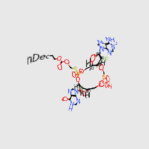 CCCCCCCCCCCCOC(=O)OCSP1(=O)OC[C@H]2O[C@@H](n3cnc4c(N)ncnc43)[C@H](F)[C@@H]2OCP(=O)(O)OC[C@H]2O[C@@H](n3cnc4c(=O)[nH]cnc43)[C@H](O1)[C@@H]2F